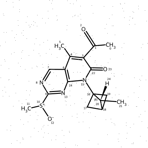 CC(=O)c1c(C)c2cnc([S+](C)[O-])nc2n(C23CC(C2)[C@H]3C)c1=O